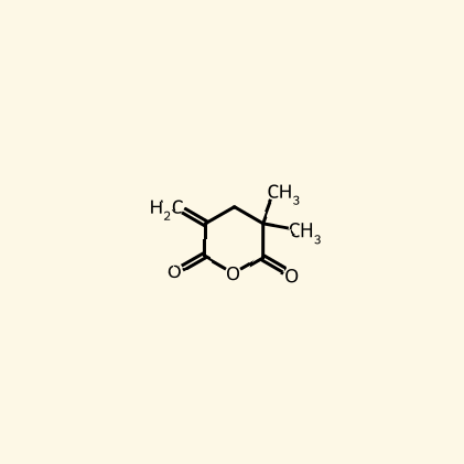 C=C1CC(C)(C)C(=O)OC1=O